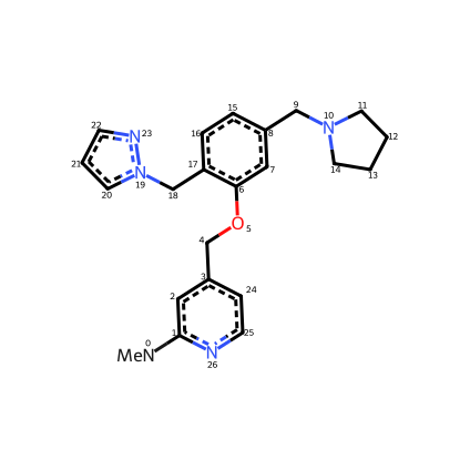 CNc1cc(COc2cc(CN3CCCC3)ccc2Cn2cccn2)ccn1